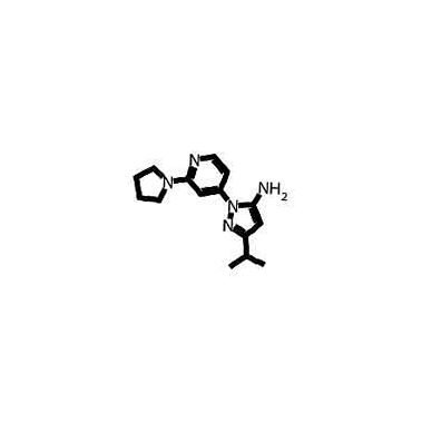 CC(C)c1cc(N)n(-c2ccnc(N3CCCC3)c2)n1